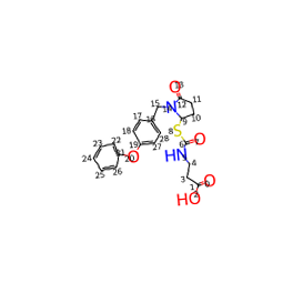 O=C(O)CCNC(=O)SC1CCC(=O)N1Cc1ccc(Oc2ccccc2)cc1